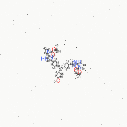 COc1ccc(C2C(c3ccc(-c4c[nH]c([C@@H]5CCCN5C(=O)OC(C)(C)C)n4)cc3)C2c2ccc(-c3c[nH]c([C@@H]4CCCN4C(=O)OC(C)(C)C)n3)cc2)cc1